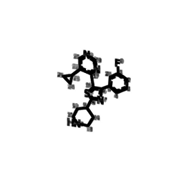 Fc1cccc(-c2nc(C3CCNCC3)sc2-c2n[c]ncc2C2CC2)c1